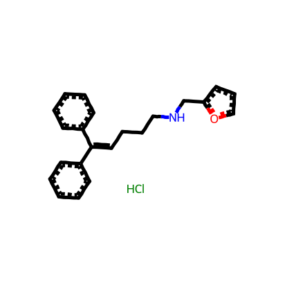 C(CCCNCc1ccco1)=C(c1ccccc1)c1ccccc1.Cl